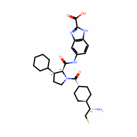 N[C@H](CF)[C@H]1CC[C@H](C(=O)N2CC[C@@H](C3CCCCC3)[C@H]2C(=O)Nc2ccc3[nH]c(C(=O)O)nc3c2)CC1